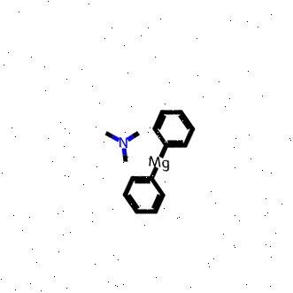 CN(C)C.c1cc[c]([Mg][c]2ccccc2)cc1